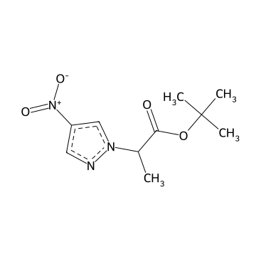 CC(C(=O)OC(C)(C)C)n1cc([N+](=O)[O-])cn1